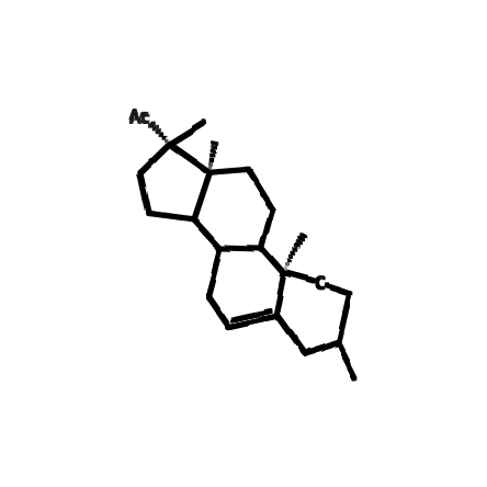 CC(=O)[C@@]1(C)CCC2C3CC=C4CC(C)CC[C@]4(C)C3CC[C@@]21C